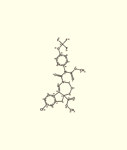 COC(=O)N(C(=O)N1COCC2(C(=O)OC)Cc3cc(Cl)ccc3C2=N1)c1ccc(OC(F)(F)F)cc1